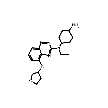 CCN(c1ncc2cccc(OC3CCOC3)c2n1)C1CCC(N)CC1